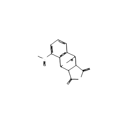 O=C1CC2c3c(cccc3[N+](=O)[O-])C1C1C(=O)OC(=O)C21